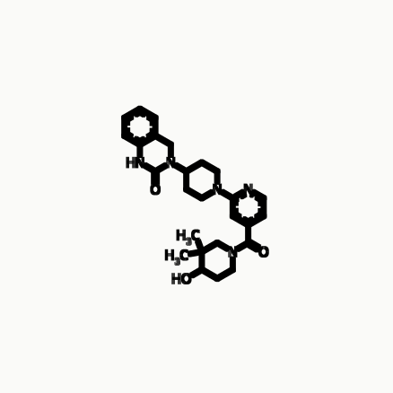 CC1(C)CN(C(=O)c2ccnc(N3CCC(N4Cc5ccccc5NC4=O)CC3)c2)CCC1O